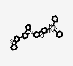 c1ccc(C2=NC(c3ccc4c(c3)oc3ccc(-n5c6ccccc6c6cc(-c7ccc8sc9ccccc9c8c7)ccc65)cc34)NC(c3ccccc3)=N2)cc1